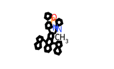 CCc1nc2cccc3c2n1-c1c(-c2ccc4c(-c5cccc6ccccc56)c5ccccc5c(-c5cccc6ccccc56)c4c2)cccc1P3(=O)c1ccccc1